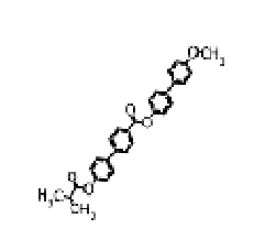 C=C(C)C(=O)Oc1ccc(-c2ccc(C(=O)Oc3ccc(-c4ccc(OC)cc4)cc3)cc2)cc1